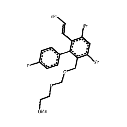 CCCC=Cc1c(C(C)C)cc(C(C)C)c(COCOCCOC)c1-c1ccc(F)cc1